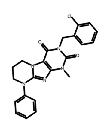 Cn1c(=O)n(Cc2ccccc2Cl)c(=O)c2c1nc1n2CCCN1c1ccccc1